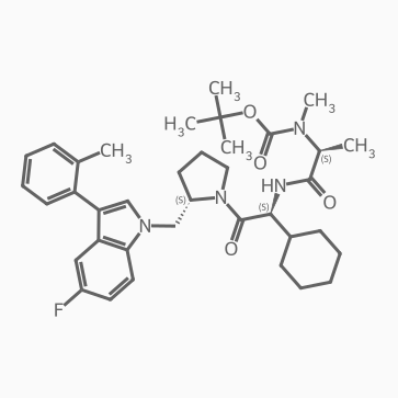 Cc1ccccc1-c1cn(C[C@@H]2CCCN2C(=O)[C@@H](NC(=O)[C@H](C)N(C)C(=O)OC(C)(C)C)C2CCCCC2)c2ccc(F)cc12